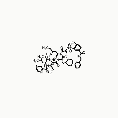 CCC(N)CC(=O)N(C(=O)C(=O)NS(=O)(=O)c1cc(C(=O)NCc2ccccc2)ccc1Cl)C(=O)[C@H](CC1CCCCC1)NC(=O)[C@@H](NC(=O)[C@H](CC(C)C)NC(=O)c1cnccn1)[C@@H](C)CC